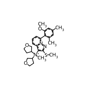 COc1cc(C)cc(C)c1-c1cccc2c([N+](C)(C3CCOC3)C3CCOC3)c(SC)nn12